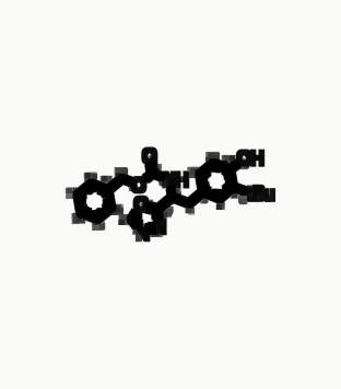 CC(C)(C)c1cc(CC(NC(=O)OCc2ccccc2)c2nnco2)ccc1O